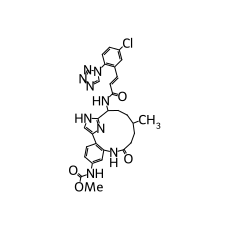 COC(=O)Nc1ccc2c(c1)NC(=O)CCC(C)CCC(NC(=O)C=Cc1cc(Cl)ccc1-n1cnnn1)c1nc-2c[nH]1